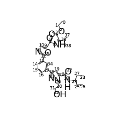 CCOC(=O)[C@@H](NC(=O)c1cnc(-c2cccc(-c3cc(C(=O)NC(CC)CC)n(CCO)n3)c2)o1)C(C)C